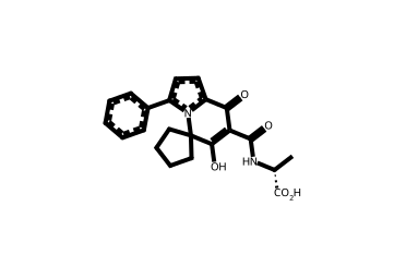 C[C@@H](NC(=O)C1=C(O)C2(CCCC2)n2c(ccc2-c2ccccc2)C1=O)C(=O)O